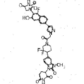 Cn1c(=O)n(C2CCC(=O)NC2=O)c2ccc(C3CCN(C(=O)Cn4cc(-c5ccc6c(F)c(N7CC(=O)NS7(=O)=O)c(O)cc6c5)cn4)CC3(F)F)cc21